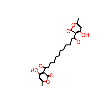 Cc1cc(O)c(C(=O)CCCCCCCCCCC(=O)c2c(O)cc(C)oc2=O)c(=O)o1